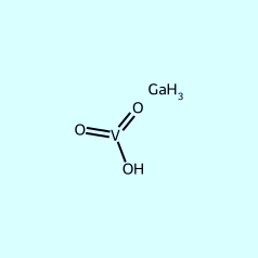 [GaH3].[O]=[V](=[O])[OH]